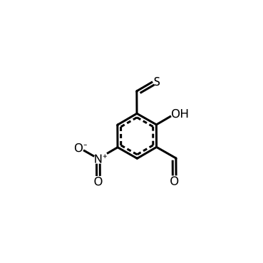 O=Cc1cc([N+](=O)[O-])cc(C=S)c1O